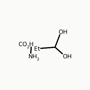 CCC(O)O.NC(=O)O